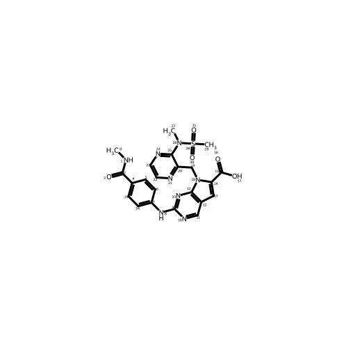 CNC(=O)c1ccc(Nc2ncc3cc(C(=O)O)n(Cc4nccnc4N(C)S(C)(=O)=O)c3n2)cc1